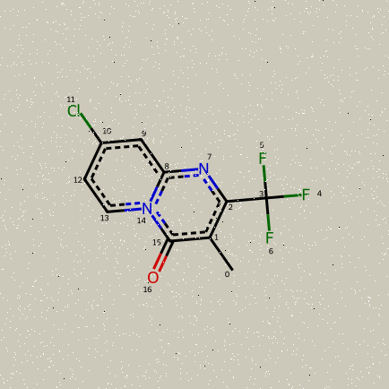 Cc1c(C(F)(F)F)nc2cc(Cl)ccn2c1=O